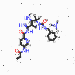 C=CC(=O)Nc1ccc(C(=O)NC(=N)C2=C(NC)C(C)(C)N(C(=O)N[C@H](CN(C)C)c3ccccc3)C2)nc1